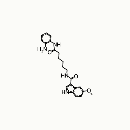 COc1ccc2[nH]cc(C(=O)NCCCCCC(=O)Nc3ccccc3N)c2c1